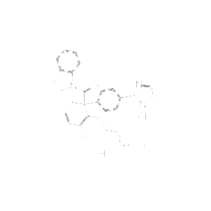 CN(C)CCOC1=C(Cl)C=CCC1(C(=O)N1CCc2ccccc21)c1ccc(C2N=CON2C)cc1